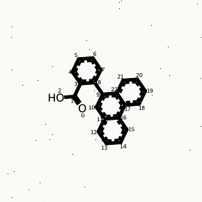 O=C(O)c1ccccc1-c1cc2ccccc2c2ccccc12